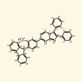 Cc1cc(-c2ccn3c(-c4ccccc4)c(-c4ccccc4)nc3n2)ccc1-n1c2ccccc2c2ccccc21